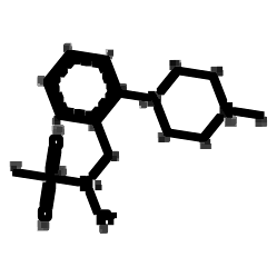 CC(C)N(Cc1ccccc1N1CCN(C)CC1)S(C)(=O)=O